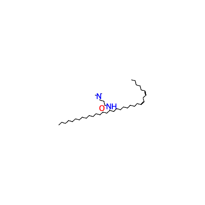 CCCCC/C=C\C/C=C\CCCCCCCCC(CCCCCCCCCCCCCCC)NC(=O)CCN(C)C